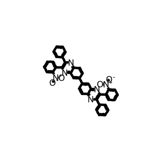 O=[N+]([O-])c1ccccc1-c1nc2cc(-c3ccc4nc(-c5ccccc5)c(-c5ccccc5[N+](=O)[O-])nc4c3)ccc2nc1-c1ccccc1